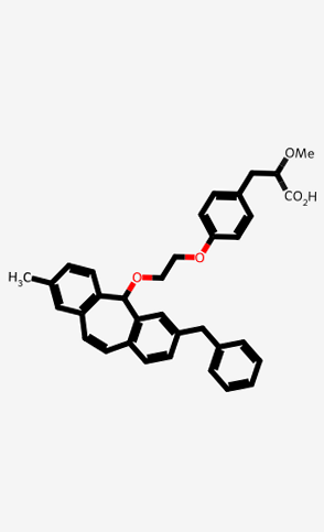 COC(Cc1ccc(OCCOC2c3ccc(C)cc3C=Cc3ccc(Cc4ccccc4)cc32)cc1)C(=O)O